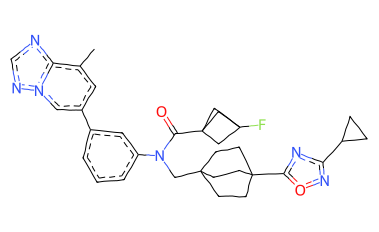 Cc1cc(-c2cccc(N(CC34CCC(c5nc(C6CC6)no5)(CC3)CC4)C(=O)C34CC(F)(C3)C4)c2)cn2ncnc12